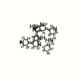 c1ccc(CNCc2cncc(-c3cnc4[nH]nc(-c5cc6c(-c7ccncc7)ccnc6[nH]5)c4c3)c2)cc1